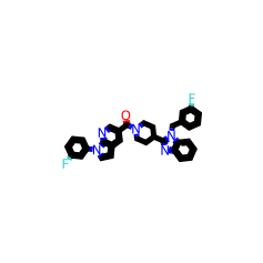 O=C(c1cnc2c(ccn2-c2cccc(F)c2)c1)N1CCC(c2nc3ccccc3n2Cc2cccc(F)c2)CC1